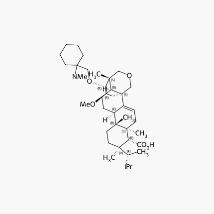 CNC1(CO[C@H]2[C@H](OC)C[C@@]34COC[C@]2(C)[C@@H]3CC[C@H]2C4=CC[C@@]3(C)[C@H](C(=O)O)[C@@](C)([C@H](C)C(C)C)CC[C@]23C)CCCCC1